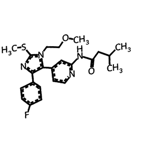 COCCn1c(SC)nc(-c2ccc(F)cc2)c1-c1ccnc(NC(=O)CC(C)C)c1